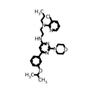 CCCN(CCNc1cc(-c2cccc(OC(C)C)c2)nc(N2CCOCC2)n1)c1ncccc1Cl